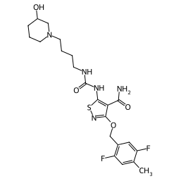 Cc1cc(F)c(COc2nsc(NC(=O)NCCCCN3CCCC(O)C3)c2C(N)=O)cc1F